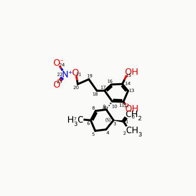 C=C(C)[C@H]1CCC(C)=C[C@@H]1c1c(O)cc(O)cc1CCCO[N+](=O)[O-]